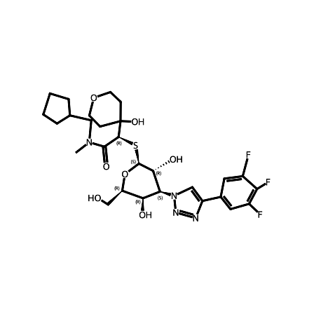 CN(CC1CCCC1)C(=O)[C@H](S[C@@H]1O[C@H](CO)[C@H](O)[C@H](n2cc(-c3cc(F)c(F)c(F)c3)nn2)[C@H]1O)C1(O)CCOCC1